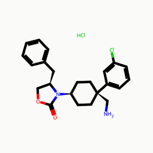 Cl.NC[C@]1(c2cccc(Cl)c2)CC[C@H](N2C(=O)OC[C@H]2Cc2ccccc2)CC1